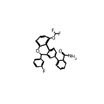 NC(=O)c1ccccc1-c1ccc2c(c1)C(c1cccc(F)c1)Oc1cccc(OC(F)F)c1-2